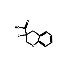 O=C(O)C1(Cl)COc2ccccc2O1